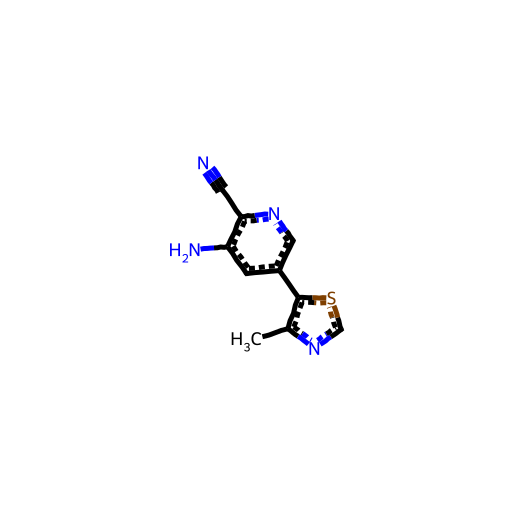 Cc1ncsc1-c1cnc(C#N)c(N)c1